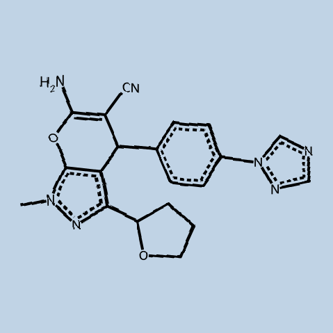 Cn1nc(C2CCCO2)c2c1OC(N)=C(C#N)C2c1ccc(-n2cncn2)cc1